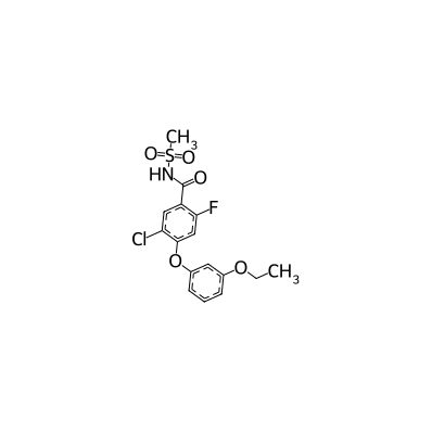 CCOc1cccc(Oc2cc(F)c(C(=O)NS(C)(=O)=O)cc2Cl)c1